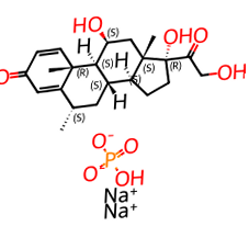 C[C@H]1C[C@@H]2[C@H]([C@@H](O)C[C@@]3(C)[C@H]2CC[C@]3(O)C(=O)CO)[C@@]2(C)C=CC(=O)C=C12.O=P([O-])([O-])O.[Na+].[Na+]